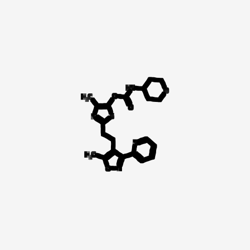 Cc1nc(CCc2c(-c3ccccn3)noc2C)sc1OC(=O)NC1CCOCC1